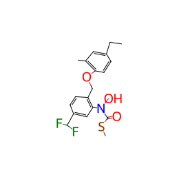 CCc1ccc(OCc2ccc(C(F)F)cc2N(O)C(=O)SC)c(C)c1